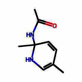 CC(=O)NC1(C)C=CC(C)=CN1